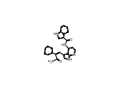 NC(=O)C(=Cc1c[nH]c2nccc(NC(=O)c3c[nH]c4ccccc34)c12)c1ccccc1